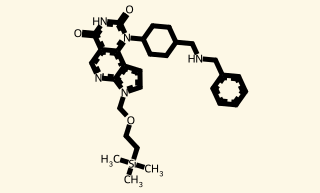 C[Si](C)(C)CCOCn1ccc2c1ncc1c(=O)[nH]c(=O)n(C3CCC(CNCc4ccccc4)CC3)c12